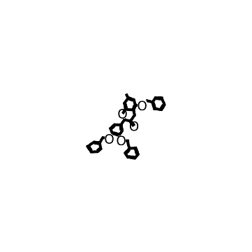 Cc1cc(OCc2ccccc2)c2c(c1)OC(c1ccc(OCc3ccccc3)c(OCc3ccccc3)c1)C(=O)C2